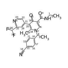 CCNC(=O)c1cn(C(C)c2ccc(C#N)cc2)c(C)c(-c2ccnc(C(F)F)c2)c1=O